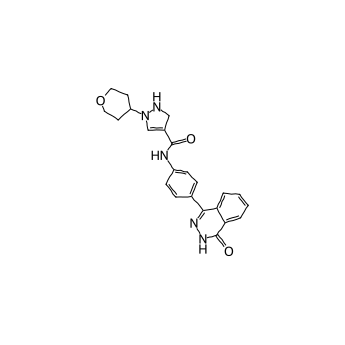 O=C(Nc1ccc(-c2n[nH]c(=O)c3ccccc23)cc1)C1=CN(C2CCOCC2)NC1